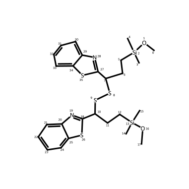 CO[Si](C)(C)CCC(SSC(CC[Si](C)(C)OC)c1nc2ccccc2s1)c1nc2ccccc2s1